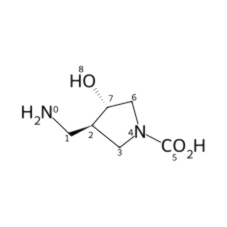 NC[C@@H]1CN(C(=O)O)C[C@H]1O